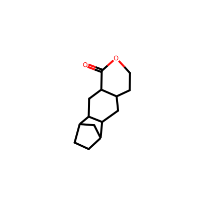 O=C1OCCC2CC3C4CCC(C4)C3CC12